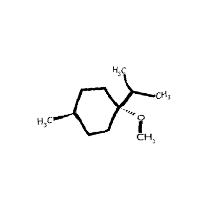 CO[C@]1(C(C)C)CC[C@@H](C)CC1